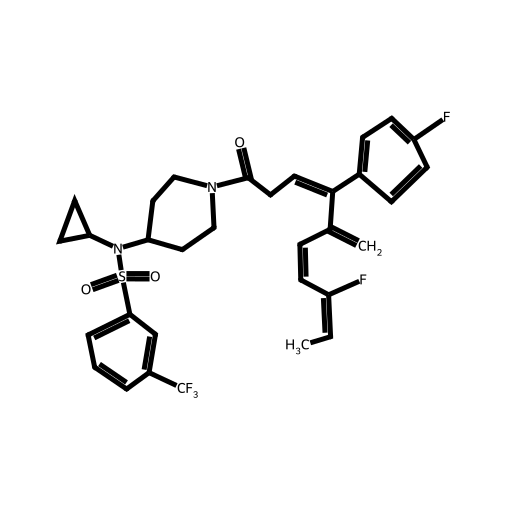 C=C(/C=C\C(F)=C/C)/C(=C\CC(=O)N1CCC(N(C2CC2)S(=O)(=O)c2cccc(C(F)(F)F)c2)CC1)c1ccc(F)cc1